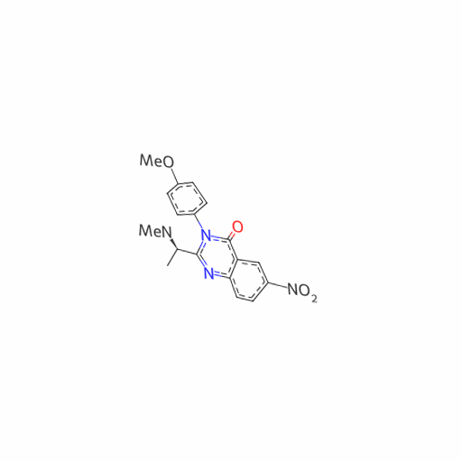 CN[C@H](C)c1nc2ccc([N+](=O)[O-])cc2c(=O)n1-c1ccc(OC)cc1